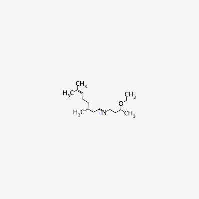 CCOC(C)CC/N=C/CC(C)CCC=C(C)C